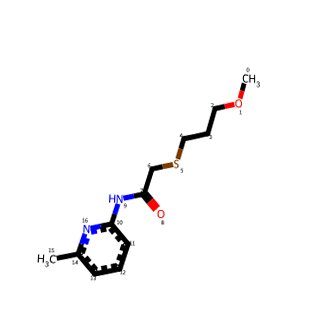 COCCCSCC(=O)Nc1cccc(C)n1